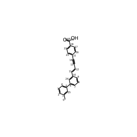 Cc1cccc(-c2cccc(/C=C/C#Cc3ccc(C(=O)O)cc3)c2)c1